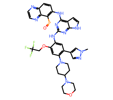 Cn1cc(-c2cc(Nc3nc(Nc4ccc5nccnc5c4P=O)c4cc[nH]c4n3)c(OCC(F)(F)F)cc2N2CCC(N3CCOCC3)CC2)cn1